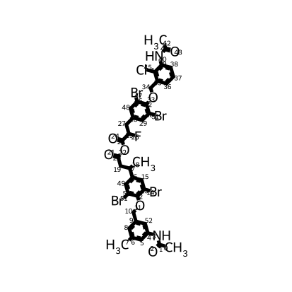 CC(=O)Nc1cc(C)cc(COc2c(Br)cc(C(C)CC(=O)OC(=O)C(F)Cc3cc(Br)c(OCc4cccc(NC(C)=O)c4Cl)c(Br)c3)cc2Br)c1